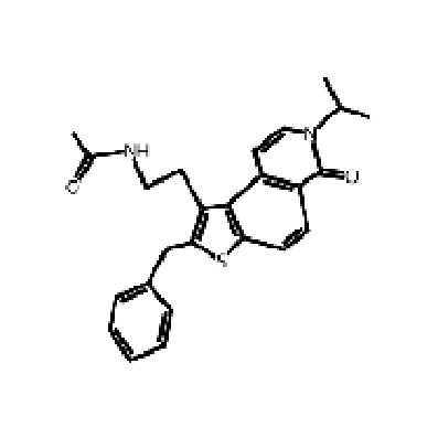 CC(=O)NCCc1c(Cc2ccccc2)sc2ccc3c(=O)n(C(C)C)ccc3c12